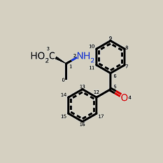 C[C@H](N)C(=O)O.O=C(c1ccccc1)c1ccccc1